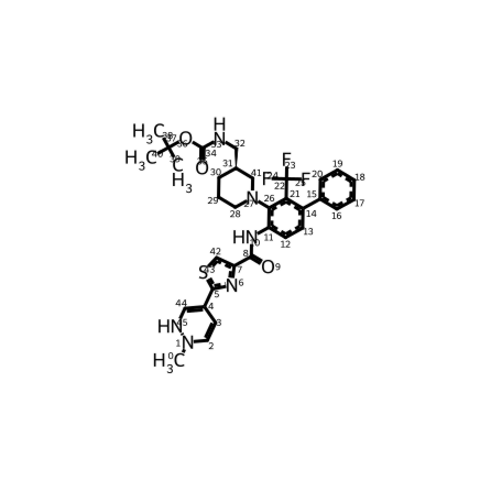 CN1C=CC(c2nc(C(=O)Nc3ccc(-c4ccccc4)c(C(F)(F)F)c3N3CCC[C@@H](CNC(=O)OC(C)(C)C)C3)cs2)=CN1